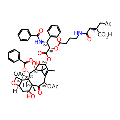 CC(=O)C/C(=C/C(=O)NCCCC(=O)O[C@@H](C(=O)O[C@H]1C[C@@]2(O)[C@@H](OC(=O)c3ccccc3)[C@@H]3[C@]4(OC(C)=O)CO[C@@H]4C[C@H](O)[C@@]3(C)C(=O)[C@H](OC(C)=O)C(=C1C)C2(C)C)[C@@H](NC(=O)c1ccccc1)c1ccccc1)C(=O)O